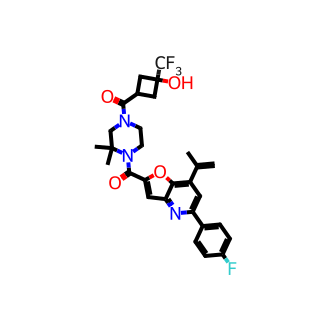 C=C(C)c1cc(-c2ccc(F)cc2)nc2cc(C(=O)N3CCN(C(=O)C4CC(O)(C(F)(F)F)C4)CC3(C)C)oc12